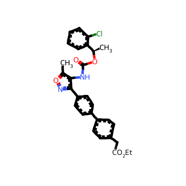 CCOC(=O)Cc1ccc(-c2ccc(-c3noc(C)c3NC(=O)O[C@H](C)c3ccccc3Cl)cc2)cc1